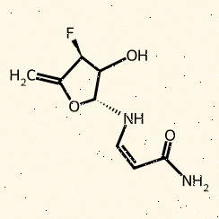 C=C1O[C@@H](N/C=C\C(N)=O)C(O)[C@@H]1F